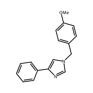 COc1ccc(Cn2cnc(-c3ccccc3)c2)cc1